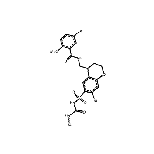 CCNC(=O)NS(=O)(=O)c1cc2c(cc1CC)OCCC2CNC(=O)c1cc(Br)ccc1OC